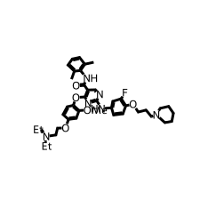 CCN(CC)CCOc1ccc(Oc2nc(Nc3ccc(OCCCN4CCCCC4)c(F)c3)ncc2C(=O)Nc2c(C)cccc2C)c(OC)c1